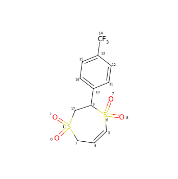 O=S1(=O)CC=CS(=O)(=O)C(c2ccc(C(F)(F)F)cc2)C1